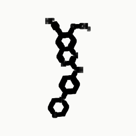 C#Cc1cc2cnc(Nc3ccc(N4CCOCC4)cc3)nc2cc1OC